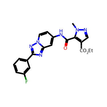 CCOC(=O)c1cnn(C)c1C(=O)Nc1ccn2nc(-c3cccc(F)c3)nc2c1